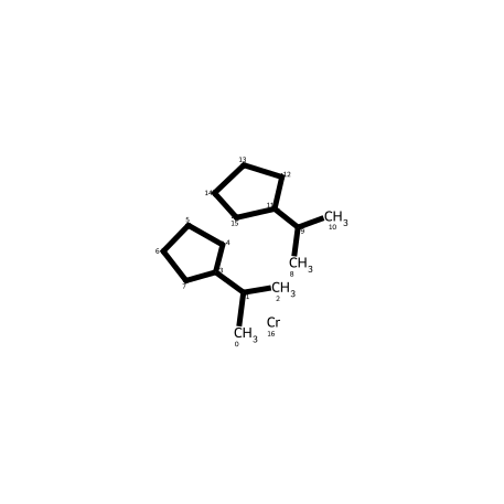 CC(C)[C]1[CH][CH][CH][CH]1.CC(C)[C]1[CH][CH][CH][CH]1.[Cr]